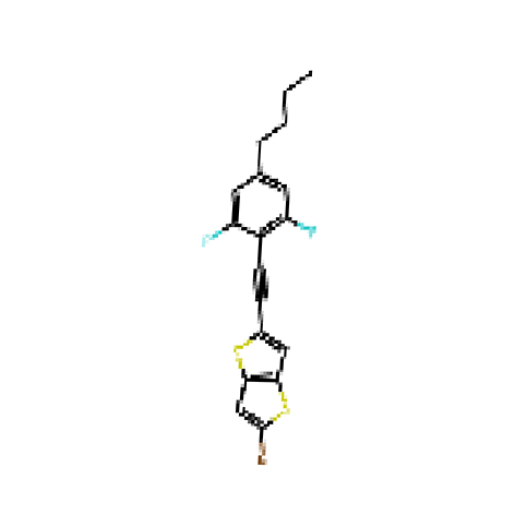 CCCCc1cc(F)c(C#Cc2cc3sc(Br)cc3s2)c(F)c1